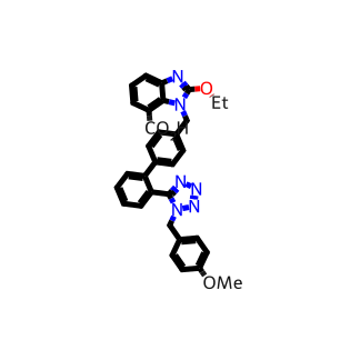 CCOc1nc2cccc(C(=O)O)c2n1Cc1ccc(-c2ccccc2-c2nnnn2Cc2ccc(OC)cc2)cc1